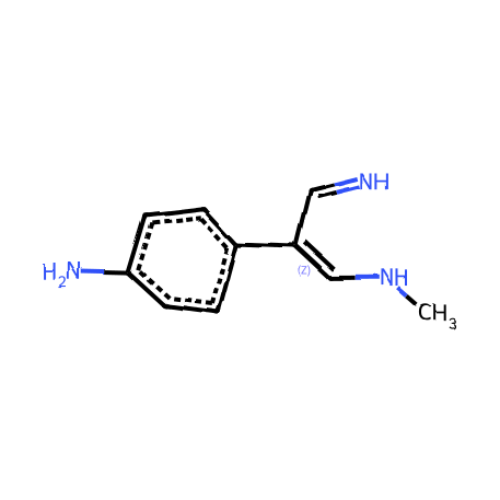 CN/C=C(\C=N)c1ccc(N)cc1